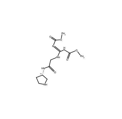 O=C(CNC(=NC(=O)OP)NC(=O)OP)N[C@H]1CCNC1